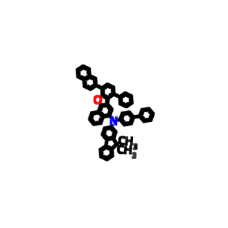 CC1(C)c2ccccc2-c2ccc(N(c3ccc(-c4ccccc4)cc3)c3cc4c(oc5c(-c6ccc7ccccc7c6)ccc(-c6ccccc6)c54)c4ccccc34)cc21